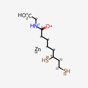 O=C(O)CNC(=O)CCCCC(S)CCS.[Zn]